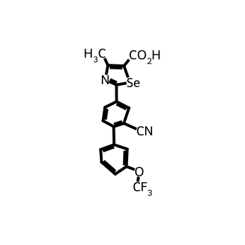 Cc1nc(-c2ccc(-c3cccc(OC(F)(F)F)c3)c(C#N)c2)[se]c1C(=O)O